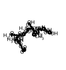 Cc1cccc2c(OC(=O)N(CCCC(=O)O)CCN(C)C(=O)OCc3ccc(NC(=O)[C@H](CCCNC(N)=O)NC(=O)[C@@H](NC(=O)OCCOCCN4C(=O)C=CC4=O)C(C)C)cc3)cc3c(c12)[C@H](CCl)CN3C(=O)c1cc2cc(NC(=O)c3ccc(O)cc3)cnc2[nH]1